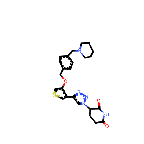 O=C1CCC(n2cc(-c3cscc3OCc3ccc(CN4CCCCC4)cc3)nn2)C(=O)N1